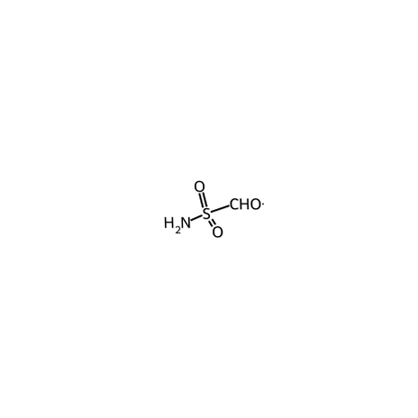 NS(=O)(=O)[C]=O